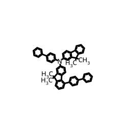 CC1(C)c2ccccc2-c2ccc(N(c3ccc(-c4ccccc4)cc3)c3ccc4c(c3)C(C)(C)c3cccc(-c5ccc(-c6ccccc6)cc5)c3-4)cc21